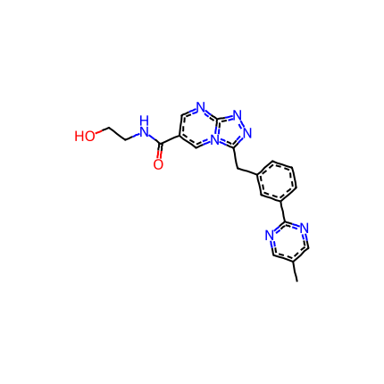 Cc1cnc(-c2cccc(Cc3nnc4ncc(C(=O)NCCO)cn34)c2)nc1